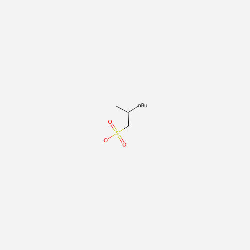 CCCCC(C)CS([O])(=O)=O